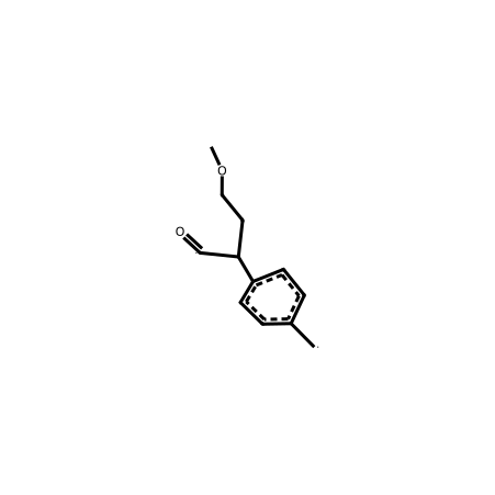 [CH2]c1ccc(C([C]=O)CCOC)cc1